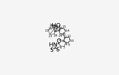 O=C1NC(=S)SC1Cc1cccc(-c2ccc(O)c(C34CC5CC(CC(C5)C3)C4)c2)c1